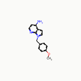 COc1ccc(Cn2ccc3c(N)ccnc32)cc1